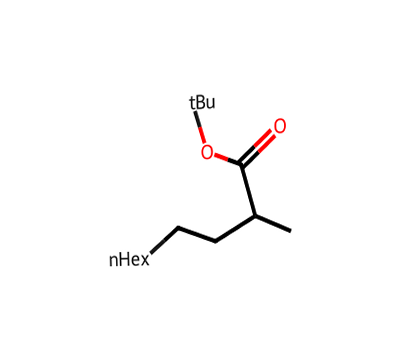 CCCCCCCCC(C)C(=O)OC(C)(C)C